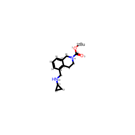 CC(C)(C)OC(=O)N1CCc2c(CNC3CC3)cccc2C1